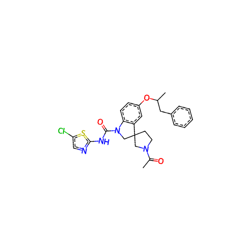 CC(=O)N1CCC2(C1)CN(C(=O)Nc1ncc(Cl)s1)c1ccc(OC(C)Cc3ccccc3)cc12